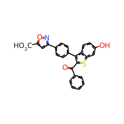 O=C(O)c1cc(-c2ccc(-c3c(C(=O)c4ccccc4)sc4cc(O)ccc34)cc2)no1